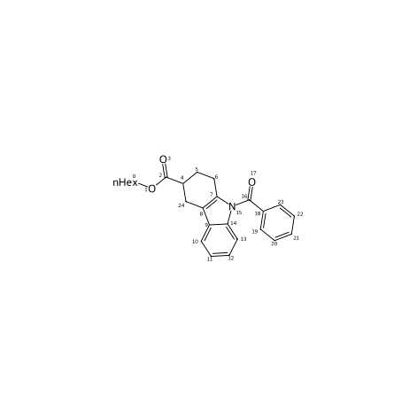 CCCCCCOC(=O)C1CCc2c(c3ccccc3n2C(=O)c2ccccc2)C1